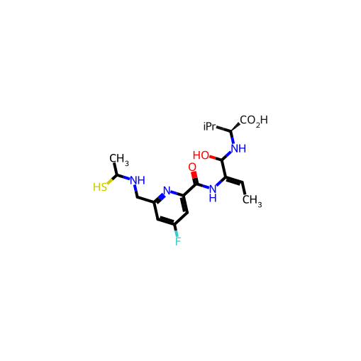 C/C=C(\NC(=O)c1cc(F)cc(CNC(C)S)n1)C(O)N[C@H](C(=O)O)C(C)C